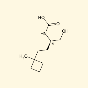 CC1(CC[C@H](CO)NC(=O)O)CCC1